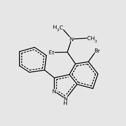 CCC(c1c(Br)ccc2[nH]nc(-c3ccccc3)c12)N(C)C